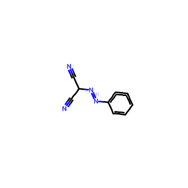 N#CC(C#N)/N=N/C1=C=C=CC=C1